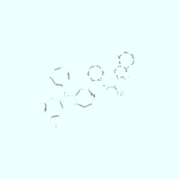 CC1=CC=C(N(C2=C=CC=CC=C2)C2=CC(c3ccccc3N(C)C(=N)c3cc4ccccc4o3)=CC=C=C2)CC=C1